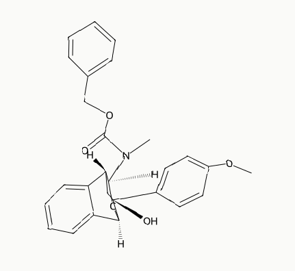 COc1ccc([C@]2(O)C[C@@H]3c4ccccc4[C@@H]2C[C@@H]3N(C)C(=O)OCc2ccccc2)cc1